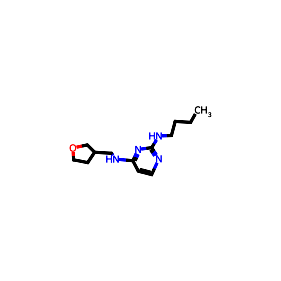 CCCCNc1nccc(NCC2CCOC2)n1